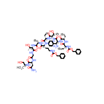 CC[C@H](C)C(NC(=O)[C@@H](CCCNC(=O)OCc1ccccc1)NC(=O)[C@H](CC(C)C)NC(=O)[C@@H](NC(=O)[C@@H](NC(=O)[C@H](CC(C)(C)C)NC(=O)[C@@H](CC(C)(C)C)NC(=O)OCc1ccccc1)[C@H](N)c1ccccc1)[C@H](O)C(C)C)C(=O)N[C@H](C(=O)NCC(=O)N[C@@H](CC(N)=O)C(=O)N[C@@H](CO)C(=O)O)[C@H](C)O